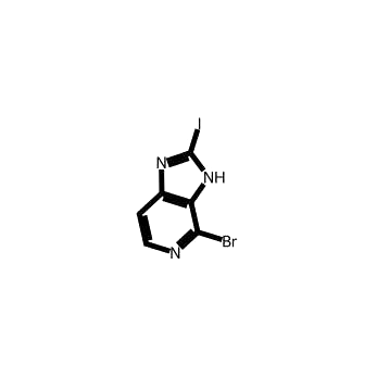 Brc1nccc2nc(I)[nH]c12